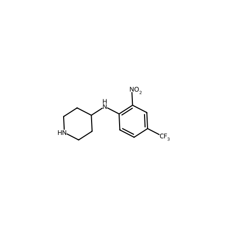 O=[N+]([O-])c1cc(C(F)(F)F)ccc1NC1CCNCC1